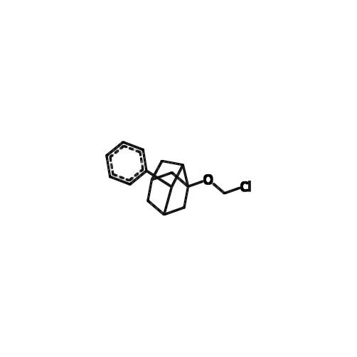 ClCOC12CC3CC(C1)C(c1ccccc1)C2C3